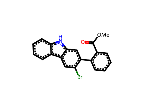 COC(=O)c1ccccc1-c1cc2[nH]c3ccccc3c2cc1Br